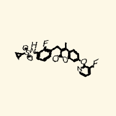 Cc1c(Cc2cccc(NS(=O)(=O)C3CC3)c2F)c(=O)oc2cc(Oc3ncccc3F)ccc12